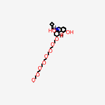 COCCOCCOCCOCCOCCOCCOCCOC1CC[C@@]2(O)[C@H]3Cc4ccc(O)c5c4[C@@]2(CCN3CC2CCC2)[C@H]1O5